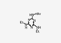 CCCCNc1nc(NCC)nc(NCC)n1